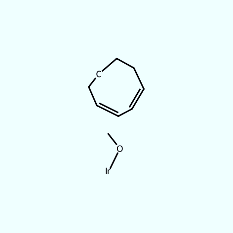 C1=C\CCCC\C=C/1.C[O][Ir]